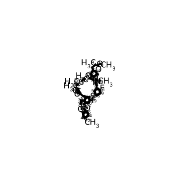 COC(=O)[C@@H](C)Cc1cccc([C@@]2(C)CCCC(C)(C)CS(=O)(=O)CCc3c(c(F)cc4c3ccn4S(=O)(=O)c3ccc(C)cc3)Sc3ccc(F)c(c3)-c3nc2nn3C)c1